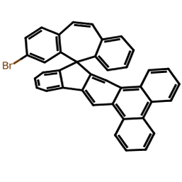 Brc1ccc2c(c1)C1(c3ccccc3C=C2)c2ccccc2-c2cc3c4ccccc4c4ccccc4c3cc21